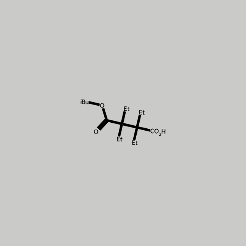 CCC(C)OC(=O)C(CC)(CC)C(CC)(CC)C(=O)O